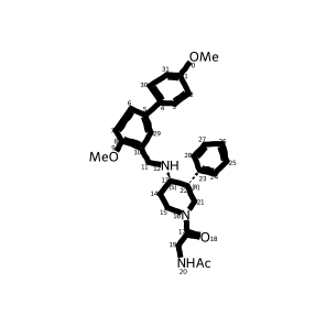 COc1ccc(-c2ccc(OC)c(CN[C@H]3CCN(C(=O)CNC(C)=O)C[C@H]3c3ccccc3)c2)cc1